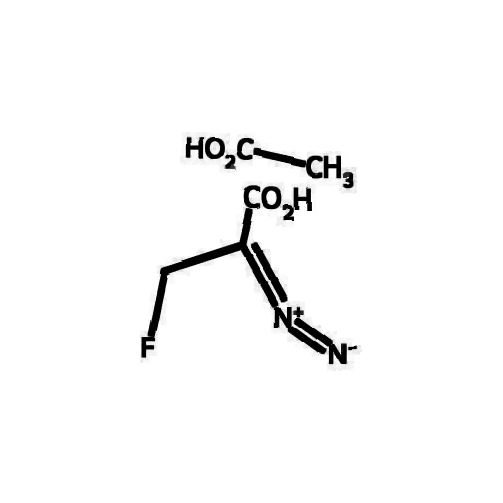 CC(=O)O.[N-]=[N+]=C(CF)C(=O)O